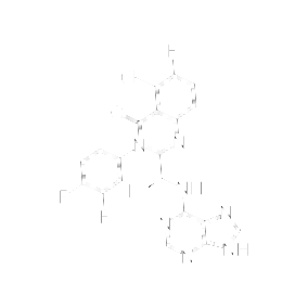 CC[C@H](Nc1ncnc2[nH]cnc12)c1nc2ccc(F)c(Cl)c2c(=O)n1-c1ccc(F)c(F)c1